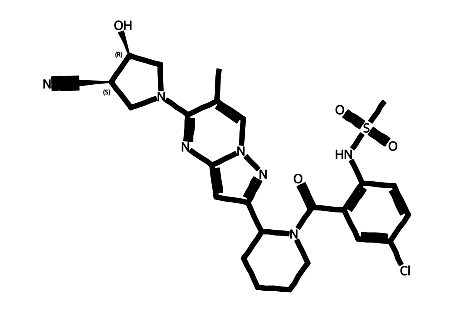 Cc1cn2nc(C3CCCCN3C(=O)c3cc(Cl)ccc3NS(C)(=O)=O)cc2nc1N1C[C@@H](C#N)[C@@H](O)C1